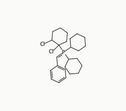 ClC1CCCCC1(Cl)P(=Cc1ccccc1)(C1CCCCC1)C1CCCCC1